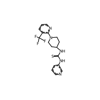 FC(F)(F)c1cccnc1N1CCC(NC(=S)Nc2cccnc2)CC1